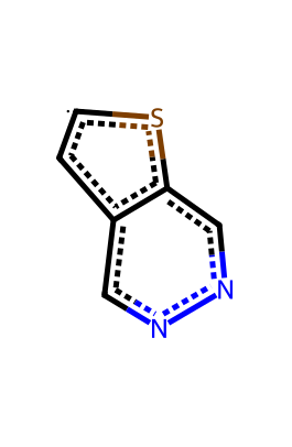 [c]1cc2cnncc2s1